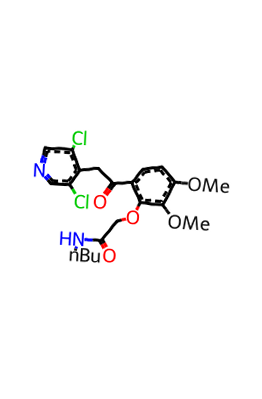 CCCCNC(=O)COc1c(C(=O)Cc2c(Cl)cncc2Cl)ccc(OC)c1OC